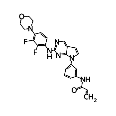 C=CC(=O)Nc1cccc(-n2ccc3cnc(Nc4ccc(N5CCOCC5)c(F)c4F)nc32)c1